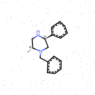 C[C@@H]1CN[C@@H](c2ccccc2)CN1Cc1ccccc1